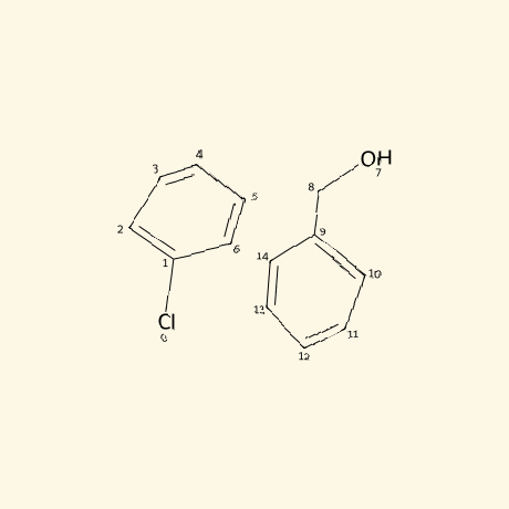 Clc1ccccc1.OCc1ccccc1